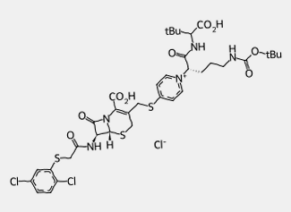 CC(C)(C)OC(=O)NCCC[C@@H](C(=O)NC(C(=O)O)C(C)(C)C)[n+]1ccc(SCC2=C(C(=O)O)N3C(=O)[C@H](NC(=O)CSc4cc(Cl)ccc4Cl)[C@H]3SC2)cc1.[Cl-]